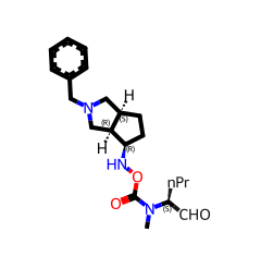 CCC[C@@H](C=O)N(C)C(=O)ON[C@@H]1CC[C@@H]2CN(Cc3ccccc3)C[C@@H]21